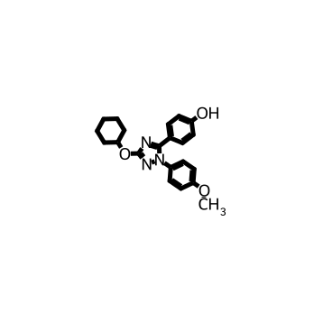 COc1ccc(-n2nc(OC3CCCCC3)nc2-c2ccc(O)cc2)cc1